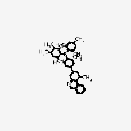 CC1=CC(C)C(C)C(C)=C1B(c1c(C)cc(C)cc1C)c1c(C)cc(C2=Cc3ncc4ccccc4c3C(C)C2)cc1C